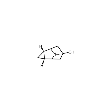 CN1C2CC(O)CC1[C@@H]1C[C@H]21